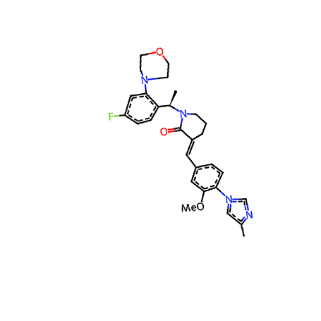 COc1cc(/C=C2\CCCN([C@H](C)c3ccc(F)cc3N3CCOCC3)C2=O)ccc1-n1cnc(C)c1